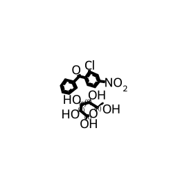 O=C(c1ccccc1)c1ccc([N+](=O)[O-])cc1Cl.OC[C@H]1O[C@@H](O)[C@H](O)[C@@H](O)[C@@H]1O